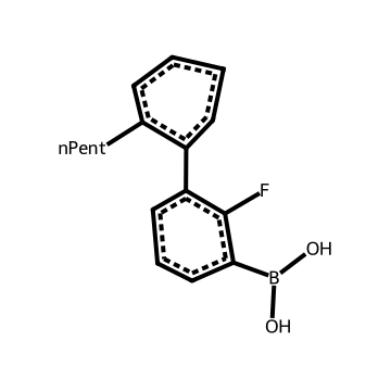 CCCCCc1ccccc1-c1cccc(B(O)O)c1F